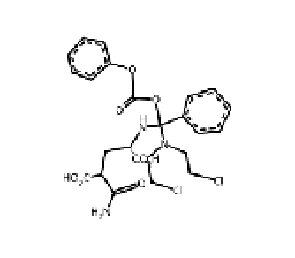 NC(=O)C(C[C@H](NC(OC(=O)Oc1ccccc1)(c1ccccc1)N(CCCl)CCCl)C(=O)O)C(=O)O